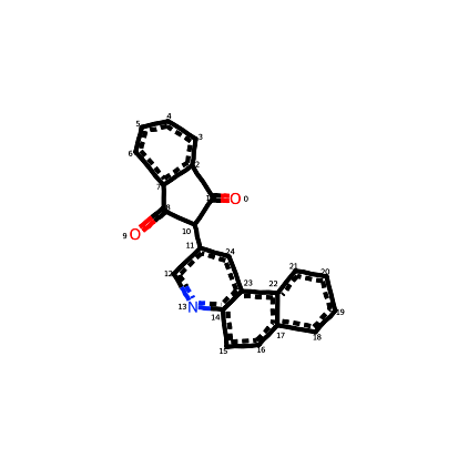 O=C1c2ccccc2C(=O)C1c1cnc2ccc3ccccc3c2c1